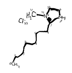 CCCCCCCc1[nH]cc[n+]1C.[Cl-]